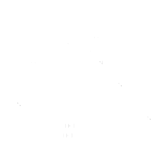 Cl.Cl.O=C(CCOC1CCNCC1)OC(=O)N1CCN(C2CCNCC2)CC1